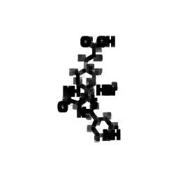 Br.NC(=O)c1nc(C2CCNCC2)sc1C1CCC(CCC(=O)O)CC1